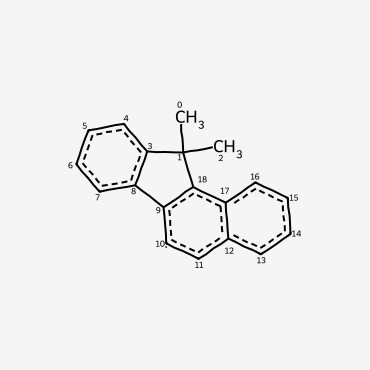 CC1(C)c2ccccc2-c2[c]cc3ccccc3c21